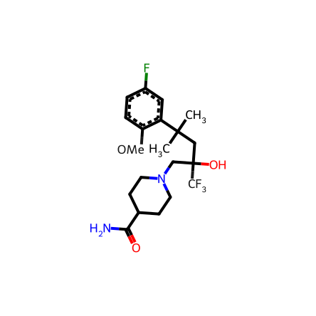 COc1ccc(F)cc1C(C)(C)CC(O)(CN1CCC(C(N)=O)CC1)C(F)(F)F